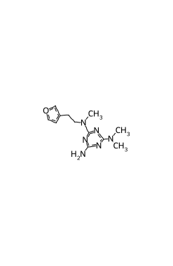 CN(C)c1nc(N)nc(N(C)CCc2ccoc2)n1